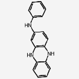 c1ccc(Nc2ccc3c(c2)Nc2ccccc2N3)cc1